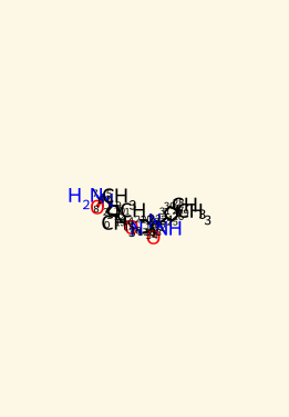 Cc1cc(N(C)C(N)=O)cc(C)c1CCON1CCC2(CC1)N=C(C1CCC(C)(C)CC1)NC2=O